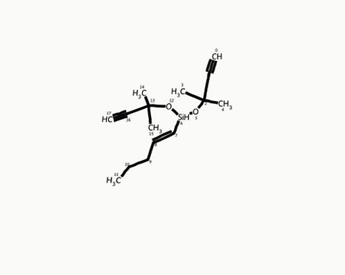 C#CC(C)(C)O[SiH](C=CCCC)OC(C)(C)C#C